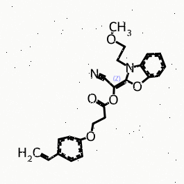 C=Cc1ccc(OCCC(=O)O/C(C#N)=C2\Oc3ccccc3N2CCOC)cc1